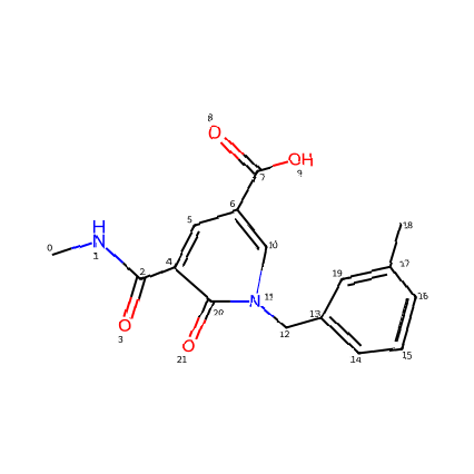 CNC(=O)c1cc(C(=O)O)cn(Cc2cccc(C)c2)c1=O